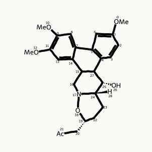 COc1ccc2c(c1)-c1cc(OC)c(OC)cc1C1CN3O[C@@H](CC(C)=O)CC[C@H]3[C@@H](O)C21